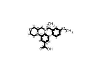 COc1cccc([C@@H](C)NCC2COCCN2c2cccc(C(=O)O)c2)c1